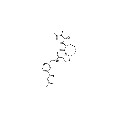 CN[C@@H](C)C(=O)N[C@H]1CCCCC2CC[C@@H](C(=O)NCc3cccc(C(=O)C=C(C)C)c3)N2C1=O